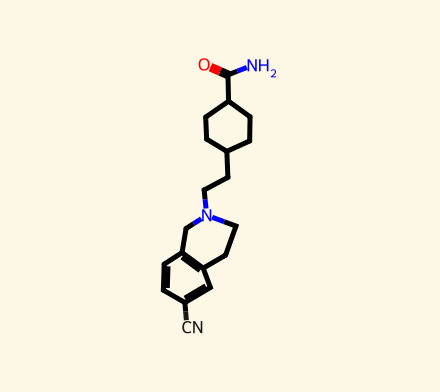 N#Cc1ccc2c(c1)CCN(CCC1CCC(C(N)=O)CC1)C2